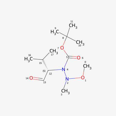 CON(C)N(C(=O)OC(C)(C)C)[C@H](C=O)C(C)C